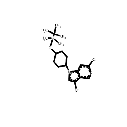 CC(C)(C)[Si](C)(C)OC1CCC(n2cc(Br)c3cnc(Cl)cc32)CC1